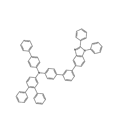 c1ccc(-c2ccc(N(c3ccc(-c4cccc(-c5ccc6c(c5)nc(-c5ccccc5)n6-c5ccccc5)c4)cc3)c3ccc(-c4ccccc4)c(-c4ccccc4)c3)cc2)cc1